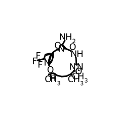 CC[C@H]1CCCC(C)(C)c2nc(no2)CNC(=O)c2nc(oc2CN)-c2ccc(c3nc(C(F)(F)F)ccc23)O1